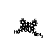 COCCN1C[C@@H](NC(=O)Nc2c(C)c(CCO)nn2-c2ccccc2)[C@H](c2ccc(F)cc2)C1